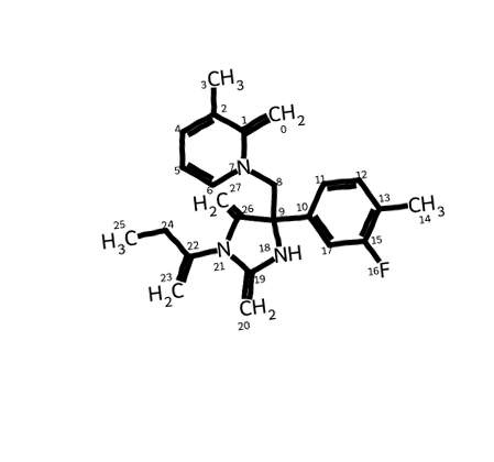 C=C1C(C)=CC=CN1CC1(c2ccc(C)c(F)c2)NC(=C)N(C(=C)CC)C1=C